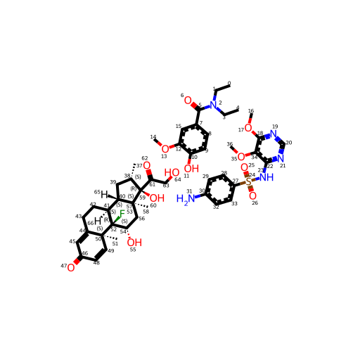 CCN(CC)C(=O)c1ccc(O)c(OC)c1.COc1ncnc(NS(=O)(=O)c2ccc(N)cc2)c1OC.C[C@H]1C[C@H]2[C@@H]3CCC4=CC(=O)C=C[C@]4(C)[C@@]3(F)[C@@H](O)C[C@]2(C)[C@@]1(O)C(=O)CO